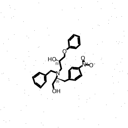 O=[N+]([O-])c1ccc(C[C@@H](CO)N(Cc2ccccc2)C[C@H](O)COc2ccccc2)cc1